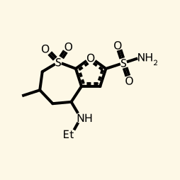 CCNC1CC(C)CS(=O)(=O)c2oc(S(N)(=O)=O)cc21